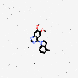 COc1cc2ncnc(N3CCc4c(C)cccc43)c2cc1OC